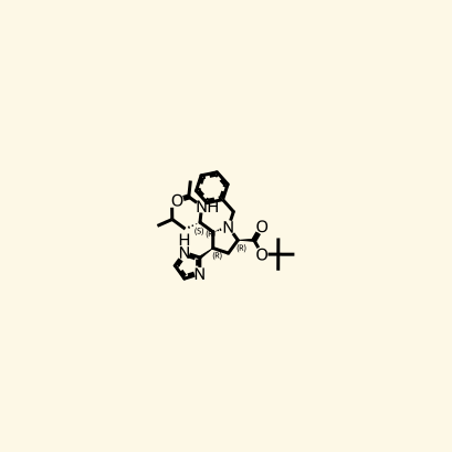 CC(=O)N[C@@H](CC(C)C)[C@H]1[C@H](c2ncc[nH]2)C[C@H](C(=O)OC(C)(C)C)N1Cc1ccccc1